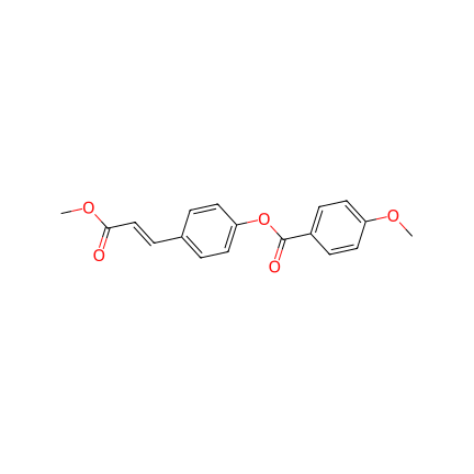 COC(=O)C=Cc1ccc(OC(=O)c2ccc(OC)cc2)cc1